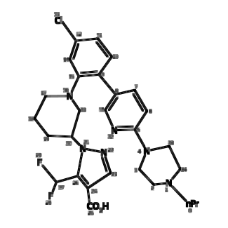 CCCN1CCN(c2ccc(-c3ccc(Cl)cc3N3CCCC(n4ncc(C(=O)O)c4C(F)F)C3)cn2)CC1